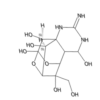 N=C1NC(O)C2C3OC4(O)OC([C@@H](O)C2(N1)[C@@H]4O)C3(O)CO